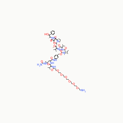 CO[C@H]([C@@H](C)C(=O)N[C@H](C)[C@@H](O)c1ccccc1)[C@@H]1CCCN1C(=O)C[C@@H](OC)[C@H](C(C)C)N(C)C(=O)[C@@H](NC(=O)[C@H](C(C)C)N(C)C(=O)OCc1ccc(NC(=O)[C@H](CCCNC(N)=O)NC(=O)[C@@H](NC(=O)CCOCCOCCOCCOCCOCCOCCN)C(C)C)cc1)C(C)C